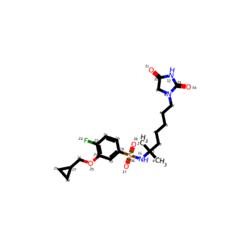 CC(C)(CCCCCN1CC(=O)NC1=O)NS(=O)(=O)c1ccc(F)c(OCC2CC2)c1